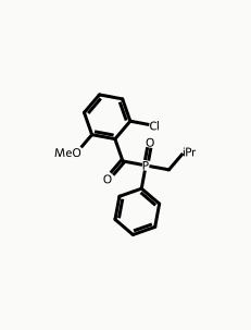 COc1cccc(Cl)c1C(=O)P(=O)(CC(C)C)c1ccccc1